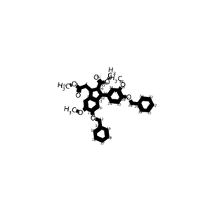 COC(=O)CC1c2cc(OC)c(OCc3ccccc3)cc2C(c2ccc(OCc3ccccc3)c(OC)c2)C1C(=O)OC